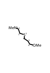 CNCCSCCCOC